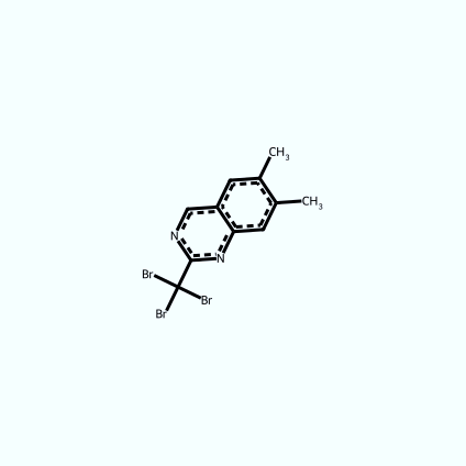 Cc1cc2cnc(C(Br)(Br)Br)nc2cc1C